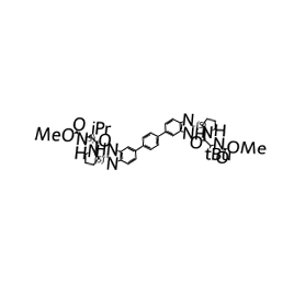 COC(=O)NC(C(=O)N1CCC[C@H]1c1nc2ccc(-c3ccc(-c4ccc5nc([C@@H]6CCCN6C(=O)[C@@H](NC(=O)OC)C(C)C)[nH]c5c4)cc3)cc2[nH]1)C(C)(C)C